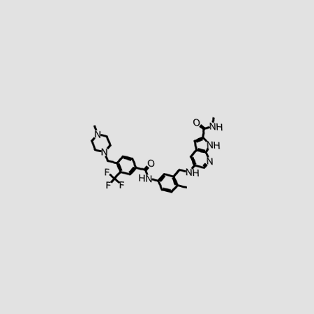 CNC(=O)c1cc2cc(NCc3cc(NC(=O)c4ccc(CN5CCN(C)CC5)c(C(F)(F)F)c4)ccc3C)cnc2[nH]1